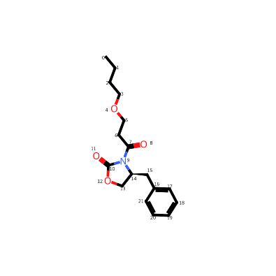 CCCCOCCC(=O)N1C(=O)OC[C@@H]1Cc1ccccc1